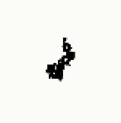 Cc1noc(C)c1S(=O)(=O)N(C[C@H]1CCC2=C1[C@@H](C)c1cnn(-c3ccc(F)cc3)c1C2)C[C@@H](C)O